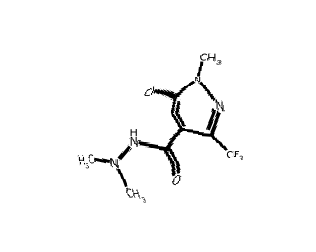 CN(C)NC(=O)c1c(C(F)(F)F)nn(C)c1Cl